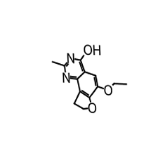 CCOc1cc2c(O)nc(C)nc2c2c1OCC2